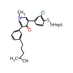 CCCCCCCSc1ccc(-c2cn(C)cc(-c3cccc(CCCC(C)C#N)c3)c2=O)cc1Cl